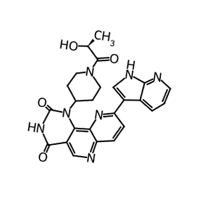 C[C@H](O)C(=O)N1CCC(n2c(=O)[nH]c(=O)c3cnc4ccc(-c5c[nH]c6ncccc56)nc4c32)CC1